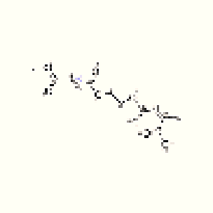 COC(=O)/C=C/C(=O)OCCOC(=O)C=C(C)C(=O)O